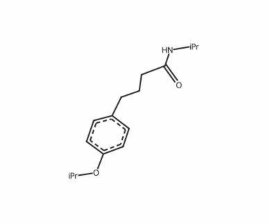 CC(C)NC(=O)CCCc1ccc(OC(C)C)cc1